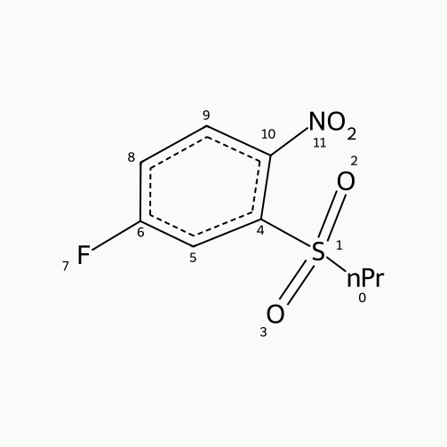 CCCS(=O)(=O)c1cc(F)ccc1[N+](=O)[O-]